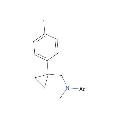 CC(=O)N(C)CC1(c2ccc(C)cc2)CC1